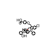 O=C(O)c1ccc(OCCc2c(CCNS(=O)(=O)Cc3ccccc3O)n(C(c3ccccc3)c3ccccc3)c3ccc(Cl)cc23)cc1